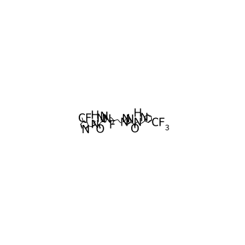 O=C(NCc1cc(C(F)(F)F)ccn1)c1cn(CCC(F)Cn2cc(C(=O)NCc3cc(C(F)(F)F)ccn3)nn2)nn1